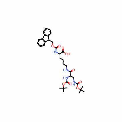 CC(C)(C)OC(=O)NCC(NC(=O)OC(C)(C)C)C(=O)NCCCC[C@H](NC(=O)OCC1c2ccccc2-c2ccccc21)C(=O)O